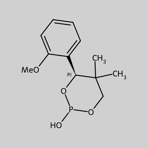 COc1ccccc1[C@@H]1OP(O)OCC1(C)C